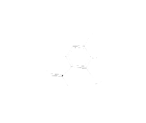 C=C(Cl)c1ccc(Cl)nc1C